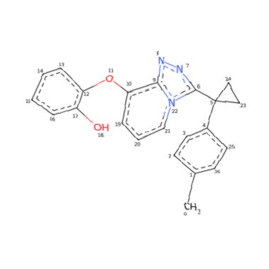 Cc1ccc(C2(c3nnc4c(Oc5ccccc5O)cccn34)CC2)cc1